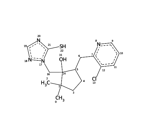 CC1(C)CCC(Cc2ncccc2Cl)C1(O)Cn1ncnc1S